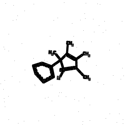 [Li][Ge]1=[C](C)C(C)=C(C)[C]1(C)c1ccccc1